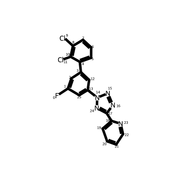 Fc1cc(-c2cccc(Cl)c2Cl)cc(-n2nnc(-c3ccccn3)n2)c1